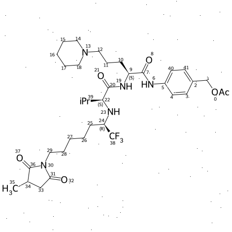 CC(=O)OCc1ccc(NC(=O)[C@H](CCCN2CCCCC2)NC(=O)[C@@H](N[C@H](CCCCCN2C(=O)CC(C)C2=O)C(F)(F)F)C(C)C)cc1